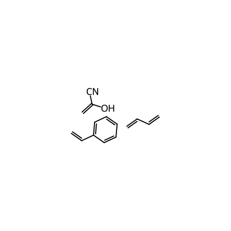 C=C(O)C#N.C=CC=C.C=Cc1ccccc1